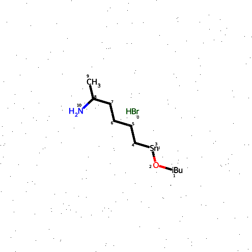 Br.CCC(C)[O][Sn][CH2]CCCC(C)N